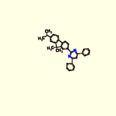 CC(C)c1ccc2c(c1)C(C)(C)c1cc(-c3nc(-c4ccccc4)cc(-c4ccccc4)n3)ccc1-2